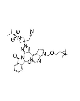 CC(C)S(=O)(=O)N1CC(CC#N)(n2cc(-c3ncnc4c3ccn4COCC[Si](C)(C)C)c(N3C(=O)c4ccccc4C3=O)n2)C1